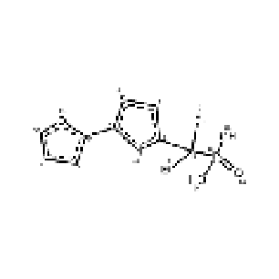 CCC(CC)(c1csc(-c2ccco2)n1)P(=O)(O)O